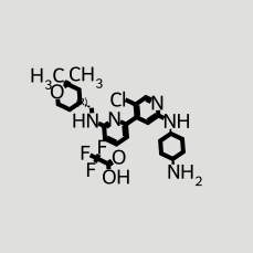 CC1(C)C[C@H](CNc2cccc(-c3cc(N[C@H]4CC[C@H](N)CC4)ncc3Cl)n2)CCO1.O=C(O)C(F)(F)F